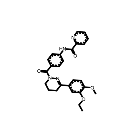 CCOc1cc(C2=NN(C(=O)c3ccc(NC(=O)c4ccccn4)cc3)CCC2)ccc1OC